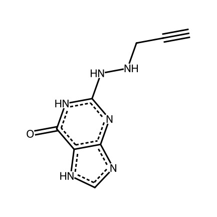 C#CCNNc1nc2nc[nH]c2c(=O)[nH]1